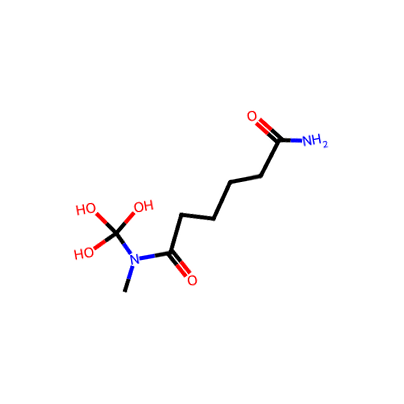 CN(C(=O)CCCCC(N)=O)C(O)(O)O